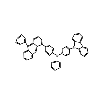 c1ccc(-c2c3ccccc3cc3c(-c4ccc(N(c5ccccc5)c5ccc(-n6c7ccccc7c7ccccc76)cc5)cc4)cccc23)cc1